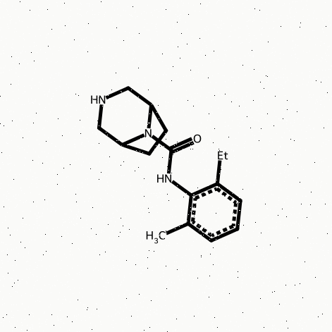 CCc1cccc(C)c1NC(=O)N1C2CCC1CNC2